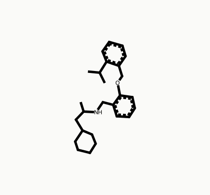 CC(CC1CCCCC1)NCc1ccccc1OCc1ccccc1C(C)C